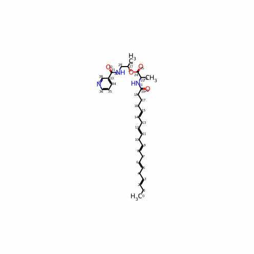 CCC=CCC=CCC=CCC=CCC=CCCCC(=O)NC(C)C(=O)OC(C)CNC(=O)c1cccnc1